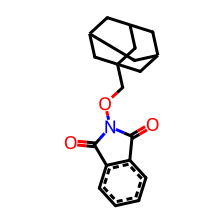 O=C1c2ccccc2C(=O)N1OCC12CC3CC(CC(C3)C1)C2